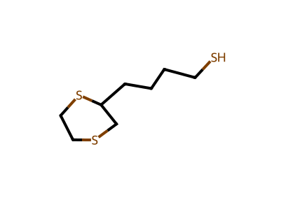 SCCCCC1CSCCS1